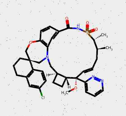 CO[C@@]1(c2cccnn2)/C=C/C[C@H](C)[C@@H](C)S(=O)(=O)NC(=O)c2ccc3c(c2)N(C[C@@H]2CC[C@H]21)C[C@@]1(CCCc2cc(Cl)ccc21)CO3